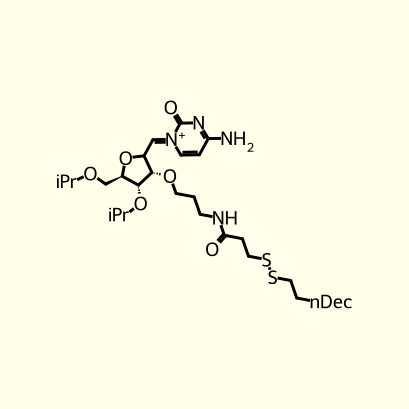 CCCCCCCCCCCCSSCCC(=O)NCCCO[C@H]1C(/C=[N+]2\C=CC(N)=NC2=O)O[C@H](COC(C)C)[C@H]1OC(C)C